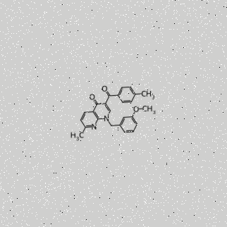 COc1cccc(Cn2cc(C(=O)c3ccc(C)cc3)c(=O)c3ccc(C)nc32)c1